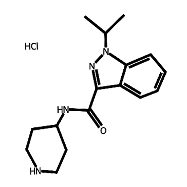 CC(C)n1nc(C(=O)NC2CCNCC2)c2ccccc21.Cl